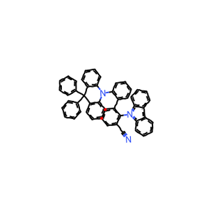 N#Cc1cccc(-c2ccccc2N2c3ccccc3C(c3ccccc3)(c3ccccc3)c3ccccc32)c1-n1c2ccccc2c2ccccc21